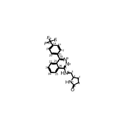 O=C1CCC(CNc2nnc(-c3ccc(C(F)(F)F)cc3)c3ccccc23)N1